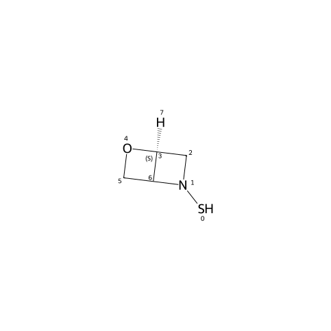 SN1C[C@@H]2OCC21